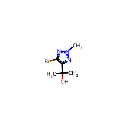 Cn1nc(Br)c(C(C)(C)O)n1